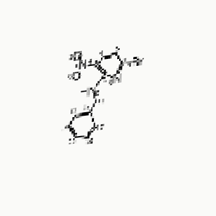 O=[N+]([O-])c1ccc(Br)nc1NCc1ccccc1